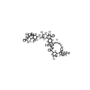 CN/C1=C(\C=N)c2cc(cc(C)n2)C(=O)/N=C2\Nc3ccc(C(=O)N(C)[C@H]4CCN(CCc5cc(F)c([C@H]6CCC(=O)NC6O)c(F)c5)[C@@H](C)C4)cc3N2C[C@H](C)CCCO1